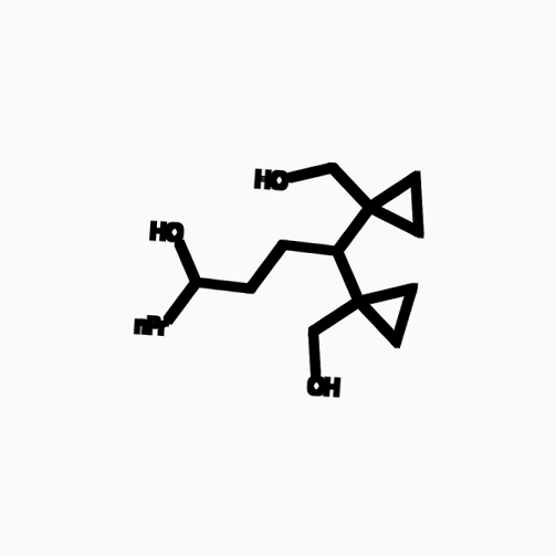 CCCC(O)CCC(C1(CO)CC1)C1(CO)CC1